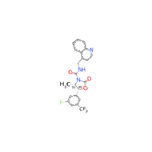 C[C@H]1[C@@H](c2cc(F)cc(C(F)(F)F)c2)OC(=O)N1C(=O)NCc1ccnc2ccccc12